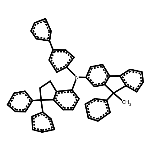 CC1(c2ccccc2)c2ccccc2-c2ccc(N(c3ccc(-c4ccccc4)cc3)c3cccc4c3CCC4(c3ccccc3)c3ccccc3)cc21